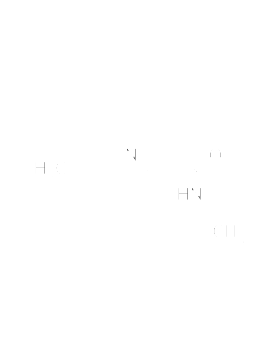 CCCN1CCCC(C(=O)NCC)C1